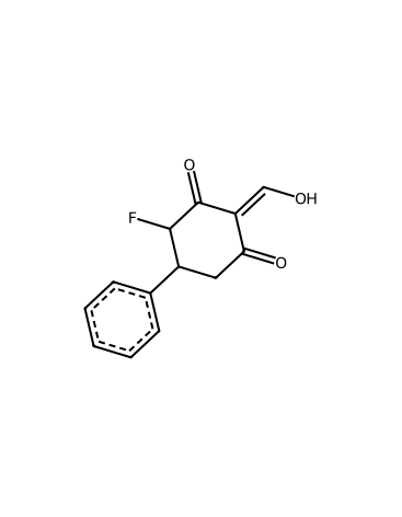 O=C1CC(c2ccccc2)C(F)C(=O)C1=CO